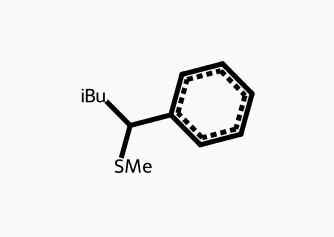 CCC(C)C(SC)c1ccccc1